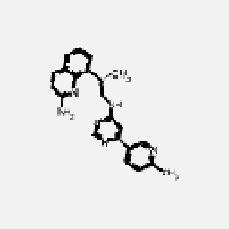 Cc1ccc(-c2cc(NC[C@@H](C)c3cccc4ccc(N)nc34)ncn2)cn1